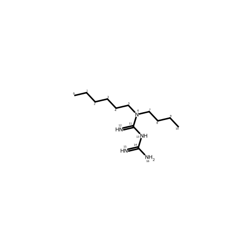 CCCCCCN(CCCC)C(=N)NC(=N)N